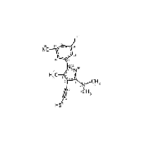 Cc1c(C#CS)c(N(C)C)nn1-c1cc(F)cc(C#N)c1